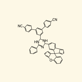 N#Cc1ccc(-c2cc(-c3ccc(C#N)cc3)cc(C3NC(c4ccccc4)=NC(c4ccc5c(c4)C4(c6ccccc6Oc6ccccc64)c4ccccc4-5)N3)c2)cc1